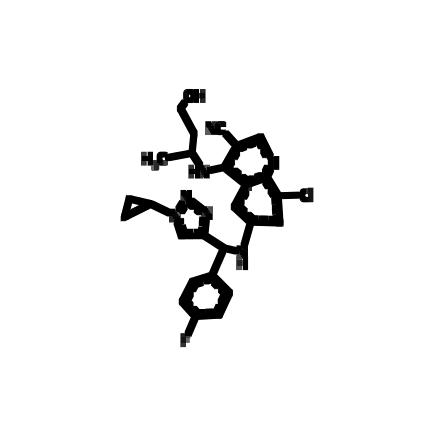 CC(CCO)Nc1c(C#N)cnc2c(Cl)cc(NC(c3ccc(F)cc3)c3cn(C4CC4)nn3)cc12